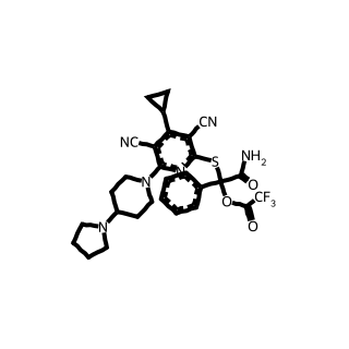 N#Cc1c(SC(OC(=O)C(F)(F)F)(C(N)=O)c2ccccc2)nc(N2CCC(N3CCCC3)CC2)c(C#N)c1C1CC1